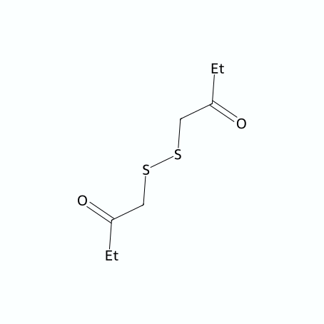 CCC(=O)CSSCC(=O)CC